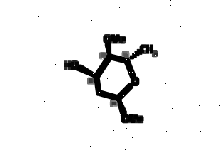 CO[C@H]1C[C@@H](O)[C@@H](OC)[C@H](C)O1